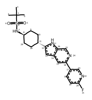 CC(C)(C)S(=O)(=O)N[C@H]1CC[C@H](c2cc3cc(-c4ccc(F)nc4)ncc3[nH]2)CC1